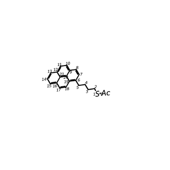 CC(=O)SCCCCc1ccc2ccc3cccc4ccc1c2c34